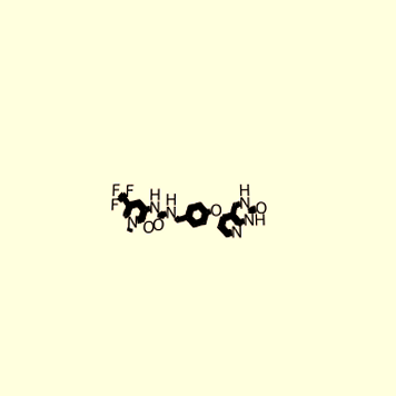 Cn1cc(C(F)(F)F)cc(NC(=O)NCc2ccc(Oc3ccnc4c3CNC(=O)N4)cc2)c1=O